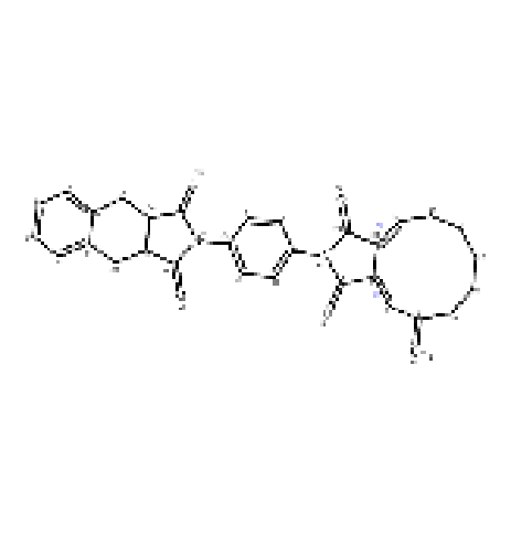 C=C1/C=C2/C(=O)N(c3ccc(N4C(=O)C5Cc6ccccc6CC5C4=O)cc3)C(=O)/C2=C/CCCCC1